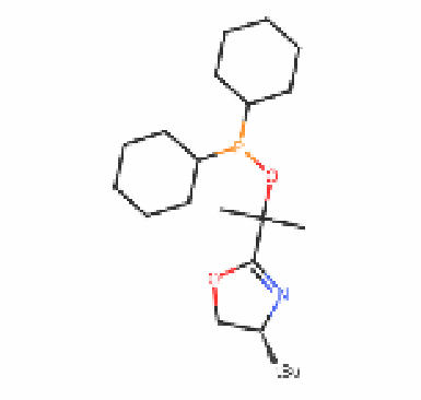 CC(C)(OP(C1CCCCC1)C1CCCCC1)C1=N[C@@H](C(C)(C)C)CO1